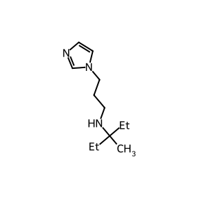 CCC(C)(CC)NCCCn1ccnc1